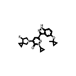 CC1(Oc2ccc3[nH]nc(-c4cc(N5CC(F)C6(CC6)C5)c(=O)n(C5CC5)n4)c3c2)CC1